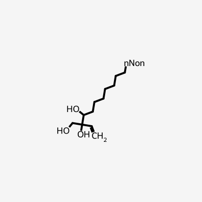 C=CC(O)(CO)C(O)CCCCCCCCCCCCCCCC